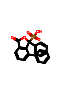 O=C1OC(c2ccccc2)(S(=O)(=O)O)c2c1cccc2-c1ccccc1